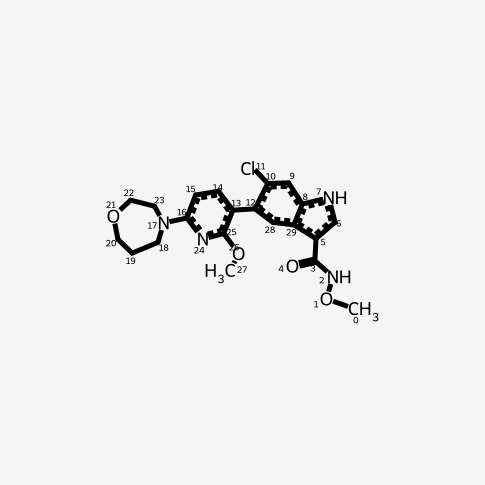 CONC(=O)c1c[nH]c2cc(Cl)c(-c3ccc(N4CCCOCC4)nc3OC)cc12